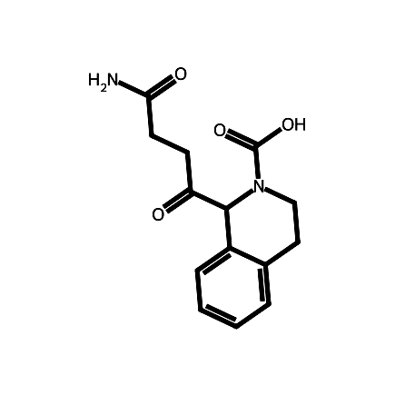 NC(=O)CCC(=O)C1c2ccccc2CCN1C(=O)O